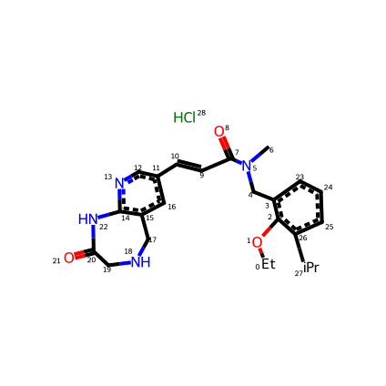 CCOc1c(CN(C)C(=O)C=Cc2cnc3c(c2)CNCC(=O)N3)cccc1C(C)C.Cl